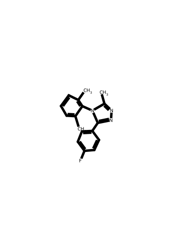 Cc1cccc(C)c1-n1c(C)nnc1-c1ccc(F)cc1